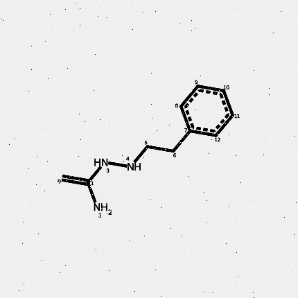 C=C(N)NNCCc1ccccc1